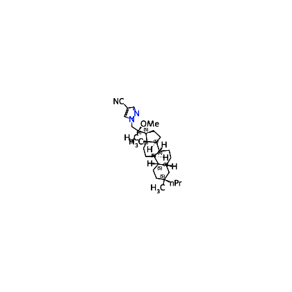 CCC[C@@]1(C)CC[C@H]2[C@H](CC[C@@H]3[C@@H]2CC[C@@]2(C)[C@H]3CC[C@@H]2[C@](C)(Cn2cc(C#N)cn2)OC)C1